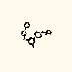 Cc1cc(Nc2ncn(-c3ccccc3)n2)cc(N2CCN(CC3(C)COC3)CC2)c1